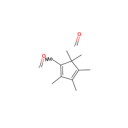 CC1=C(C)C(C)(C)[C]([Mo])=C1C.[C]=O.[C]=O